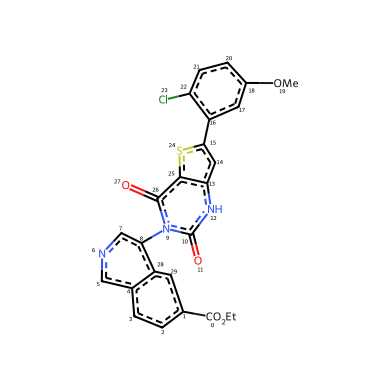 CCOC(=O)c1ccc2cncc(-n3c(=O)[nH]c4cc(-c5cc(OC)ccc5Cl)sc4c3=O)c2c1